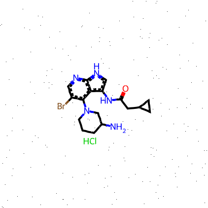 Cl.NC1CCCN(c2c(Br)cnc3[nH]cc(NC(=O)CC4CC4)c23)C1